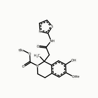 COc1cc2c(cc1O)C(C)(CC(=O)Nc1nccs1)N(C(=O)OC(C)(C)C)CC2